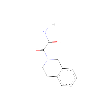 CNC(=O)C(=O)N1CCc2ccccc2C1